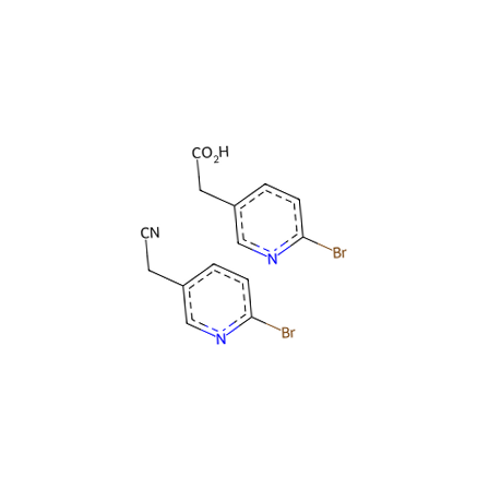 N#CCc1ccc(Br)nc1.O=C(O)Cc1ccc(Br)nc1